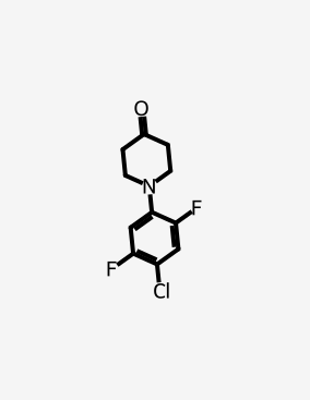 O=C1CCN(c2cc(F)c(Cl)cc2F)CC1